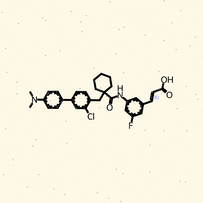 CN(C)c1ccc(-c2ccc(CC3(C(=O)Nc4cc(F)cc(/C=C/C(=O)O)c4)CCCCC3)c(Cl)c2)cc1